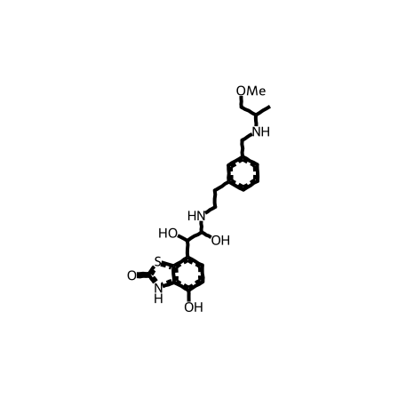 COCC(C)NCc1cccc(CCNC(O)C(O)c2ccc(O)c3[nH]c(=O)sc23)c1